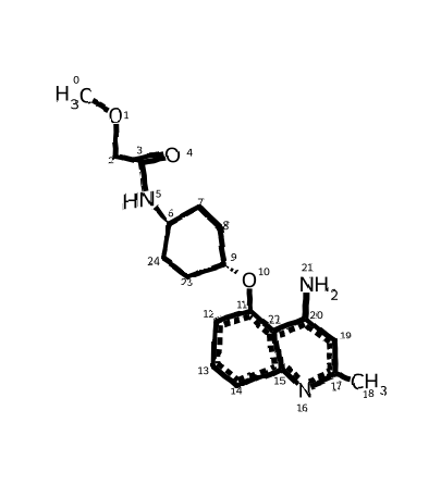 COCC(=O)N[C@H]1CC[C@H](Oc2cccc3nc(C)cc(N)c23)CC1